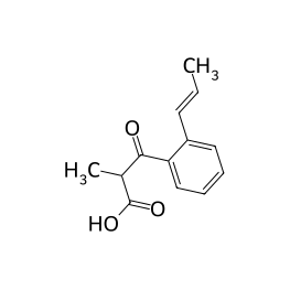 CC=Cc1ccccc1C(=O)C(C)C(=O)O